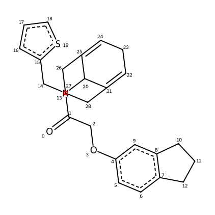 O=C(COc1ccc2c(c1)CCC2)N(Cc1cccs1)C1C2=CCC=C1CCC2